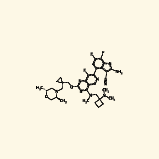 C[C@@H]1CN(CC2(COc3nc(N(C)CC4(N(C)C)CCC4)c4cnc(-c5cc(F)c(F)c6sc(N)c(C#N)c56)c(F)c4n3)CC2)[C@@H](C)CO1